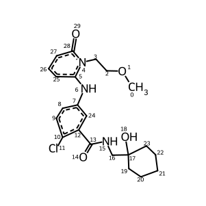 COCCn1c(Nc2ccc(Cl)c(C(=O)NCC3(O)CCCCC3)c2)cccc1=O